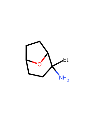 CCC1(N)CCC2CCC1O2